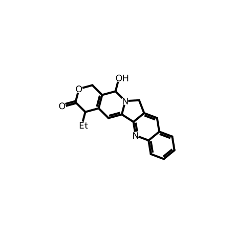 CCC1C(=O)OCC2=C1C=C1c3nc4ccccc4cc3CN1C2O